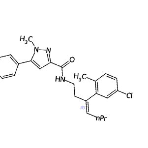 CCC/C=C(/CCNC(=O)c1cc(-c2ccccc2)n(C)n1)c1cc(Cl)ccc1C